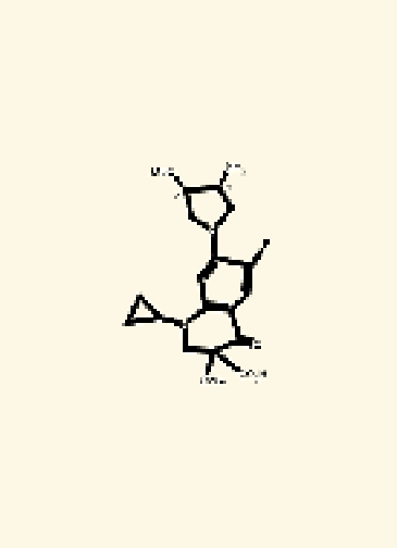 CO[C@@H]1CN(c2cc3c(cc2F)C(=O)C(OC)(C(=O)O)CN3C2CC2)C[C@@H]1N